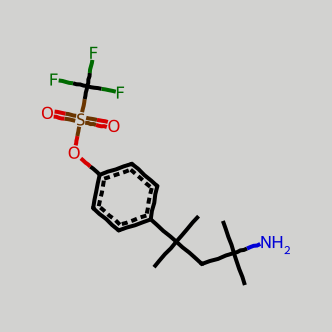 CC(C)(N)CC(C)(C)c1ccc(OS(=O)(=O)C(F)(F)F)cc1